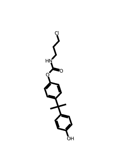 CC(C)(c1ccc(O)cc1)c1ccc(OC(=O)NCCCCl)cc1